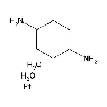 NC1CCC(N)CC1.O.O.[Pt]